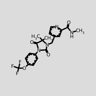 CNC(=O)c1cc(CN2C(=O)N(c3ccc(OC(F)(F)F)cc3)C(=O)C2(C)C)ccn1